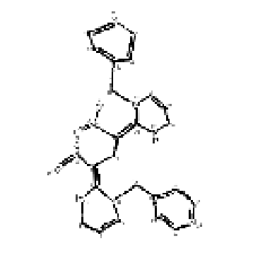 O=[N+]([O-])C(CC(=C1NCC=CN1Cc1ccncc1)[N+](=O)[O-])=C1NCC=CN1Cc1ccncc1